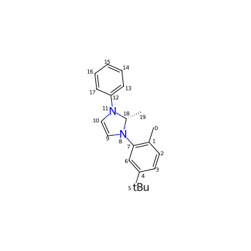 Cc1ccc(C(C)(C)C)cc1N1C=CN(c2ccccc2)[C@@H]1C